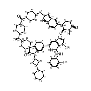 CC(C)n1cnc2cc(-c3ccc4c(c3)N(C3CC(N5CCCCC5)C3)C(=O)C43CCN(C(=O)C4CCN(C(=O)C5CCC(Cn6cc7cc([C@H]8CCC(=O)NC8=O)ccc7n6)CC5)CC4)CC3)nc(Nc3ccccc3F)c21